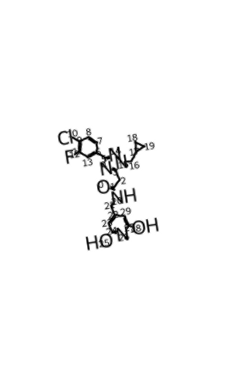 O=C(Cc1nc(-c2ccc(Cl)c(F)c2)nn1CC1CC1)NCc1cc(O)nc(O)c1